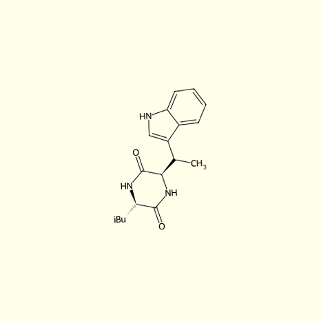 CC[C@@H](C)[C@H]1NC(=O)[C@@H](C(C)c2c[nH]c3ccccc23)NC1=O